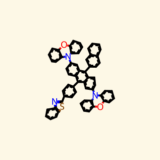 c1ccc2c(c1)Oc1ccccc1N2c1ccc2c(-c3ccc4ccccc4c3)c3cc(N4c5ccccc5Oc5ccccc54)ccc3c(-c3ccc(-c4nc5ccccc5s4)cc3)c2c1